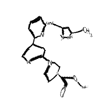 Cc1cc(Nc2cccc(-c3ccnc(N4CCN(C(=O)OC(C)(C)C)CC4)c3)n2)n[nH]1